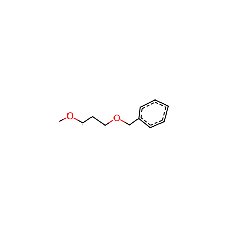 CO[CH]CCOCc1ccccc1